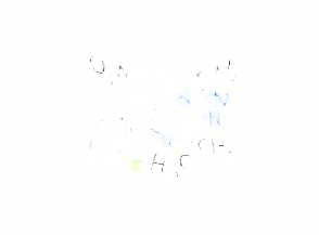 Cc1nnc2n1-c1ccc([N+](=O)[O-])cc1C(c1ccccc1F)=NC2(C)C